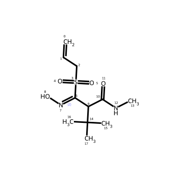 C=CCS(=O)(=O)/C(=N\O)C(C(=O)NC)C(C)(C)C